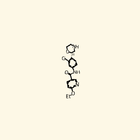 CCOc1ccc(C(=O)Nc2ccc([C@H]3CNCCO3)c(Cl)c2)cn1